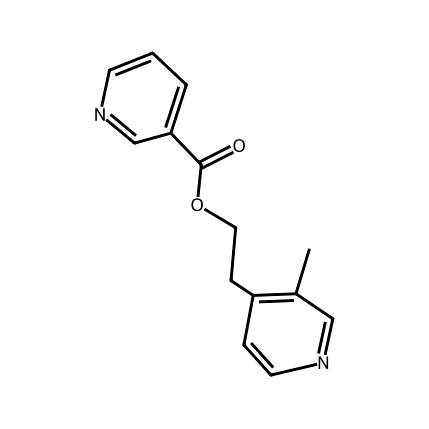 Cc1cnccc1CCOC(=O)c1cccnc1